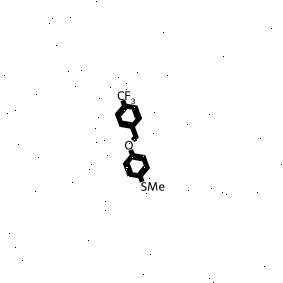 CSc1ccc(OCc2ccc(C(F)(F)F)cc2)cc1